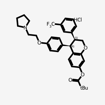 CC(C)(C)C(=O)Oc1ccc2c(c1)OC[C@H](c1cccc(C(F)(F)F)c1)[C@@H]2c1ccc(OCCN2CCCC2)cc1.Cl